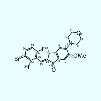 COc1cc2c(cc1N1CCOCC1)CC(=Cc1c(F)ccc(Br)c1F)C2=O